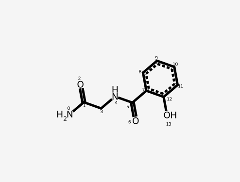 NC(=O)CNC(=O)c1ccccc1O